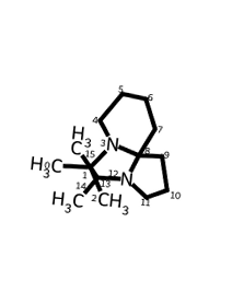 CC(C)N1CCCCC12CCCN2C(C)C